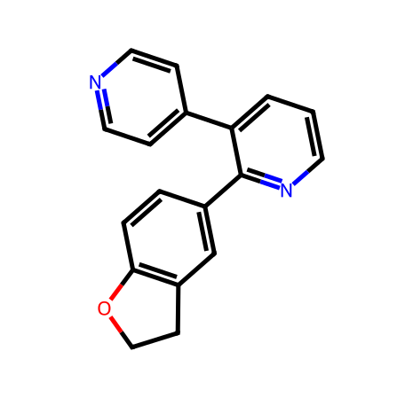 c1cnc(-c2ccc3c(c2)CCO3)c(-c2ccncc2)c1